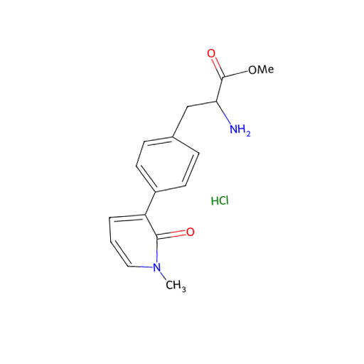 COC(=O)C(N)Cc1ccc(-c2cccn(C)c2=O)cc1.Cl